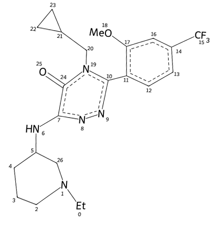 CCN1CCCC(Nc2nnc(-c3ccc(C(F)(F)F)cc3OC)n(CC3CC3)c2=O)C1